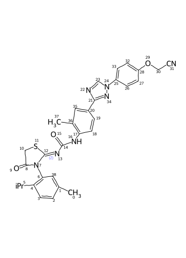 Cc1ccc(C(C)C)c(N2C(=O)CS/C2=N\C(=O)Nc2ccc(-c3ncn(-c4ccc(OCC#N)cc4)n3)cc2C)c1